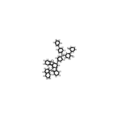 Cc1ccccc1-c1cc(N(c2ccc(-c3ccccc3)cc2)c2ccc(-c3cc4c5ccccc5n(-c5cccc6ccccc56)c4c4c3oc3ccccc34)cc2)ccc1C